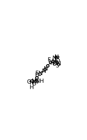 O=C1CCN(c2n[nH]c3cc(C4CCN(CCN5CCN(c6ccc(-c7cc(F)c8c(c7)C(=O)N(C(C(=O)Nc7nccs7)c7ncn9c7CCC9)C8)cc6)CC5)CC4(F)F)ccc23)C(=O)N1